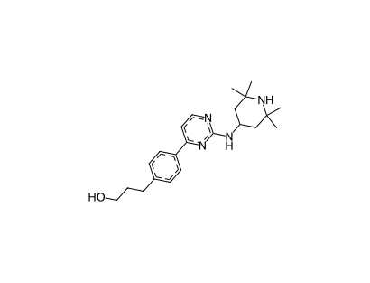 CC1(C)CC(Nc2nccc(-c3ccc(CCCO)cc3)n2)CC(C)(C)N1